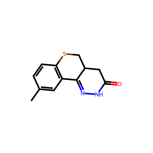 Cc1ccc2c(c1)C1=NNC(=O)CC1CS2